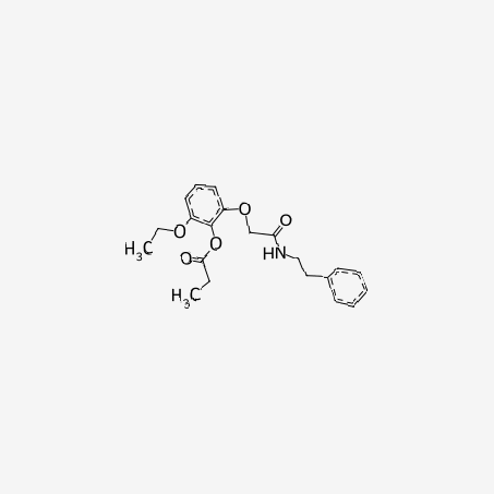 CCOc1cccc(OCC(=O)NCCc2ccccc2)c1OC(=O)CC